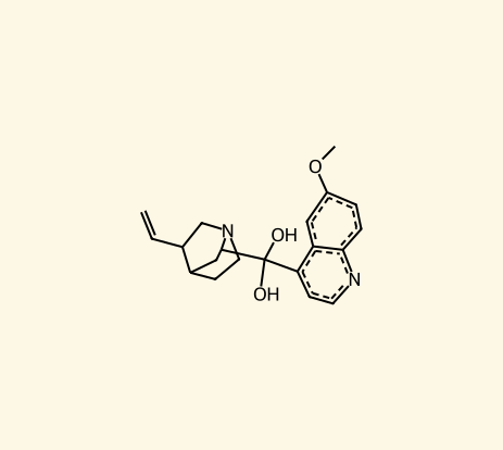 C=CC1CN2CCC1CC2C(O)(O)c1ccnc2ccc(OC)cc12